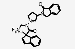 CCCCC1(C(=O)N(CC(F)(F)F)N2CCC(N3Cc4ccccc4C3=O)C2)C=Cc2ccccc21